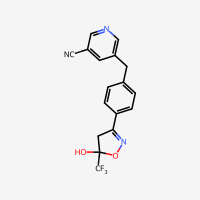 N#Cc1cncc(Cc2ccc(C3=NOC(O)(C(F)(F)F)C3)cc2)c1